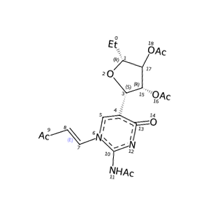 CC[C@H]1O[C@@H](c2cn(/C=C/C(C)=O)c(NC(C)=O)nc2=O)[C@@H](OC(C)=O)C1OC(C)=O